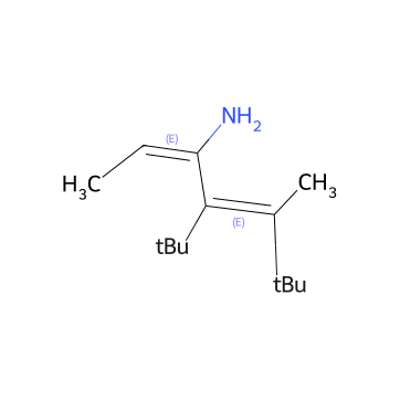 C/C=C(N)\C(=C(/C)C(C)(C)C)C(C)(C)C